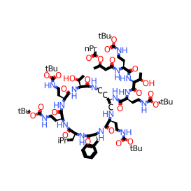 CCCC(=O)OC(C)CC(=O)N[C@@H](CCNC(=O)OC(C)(C)C)C(=O)N[C@H](C(=O)N[C@@H](CCNC(=O)OC(C)(C)C)C(=O)N[C@H]1CCNC(=O)[C@H](C(C)O)NC(=O)[C@H](CCNC(=O)OC(C)(C)C)NC(=O)[C@H](CCNC(=O)OC(C)(C)C)NC(=O)[C@H](CC(C)C)NC(=O)[C@@H](Cc2ccccc2)NC(=O)[C@H](CCNC(=O)OC(C)(C)C)NC1)C(C)O